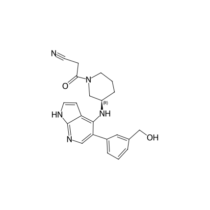 N#CCC(=O)N1CCC[C@@H](Nc2c(-c3cccc(CO)c3)cnc3[nH]ccc23)C1